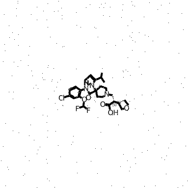 CC(C)c1ccnn1C1(C(=O)Nc2ccc(Cl)cc2OC(F)F)CCN(C[C@@H](C(=O)O)[C@@H]2CCOC2)CC1